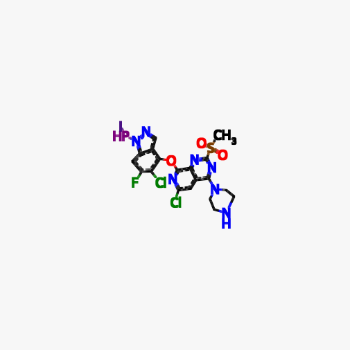 CS(=O)(=O)c1nc(N2CCNCC2)c2cc(Cl)nc(Oc3c(Cl)c(F)cc4c3cnn4PI)c2n1